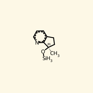 C[C@@]1(O[SiH3])CCc2cccnc21